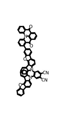 N#Cc1cc(-n2c3ccccc3c3c4oc5ccccc5c4ccc32)c(-n2c3ccccc3c3c4oc5cc(-c6cccc7c6c(=O)c6cccc8c(=O)c9ccccc9n7c86)ccc5c4ccc32)cc1C#N